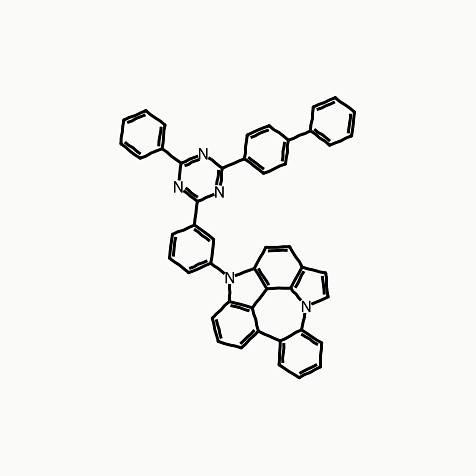 c1ccc(-c2ccc(-c3nc(-c4ccccc4)nc(-c4cccc(-n5c6cccc7c8ccccc8n8ccc9ccc5c(c76)c98)c4)n3)cc2)cc1